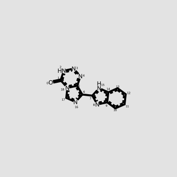 O=c1[nH]nnc2c(-c3nc4ccccc4[nH]3)ncn12